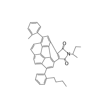 CCCCc1ccccc1-c1cc2c3c(=O)n(C(C)CC)c(=O)c3c3cc(-c4ccccc4C)c4ccc5ccc1c1c5c4c3c21